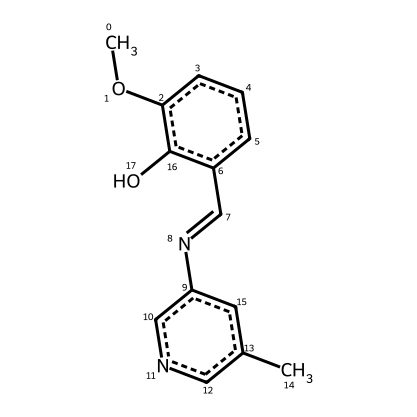 COc1cccc(C=Nc2cncc(C)c2)c1O